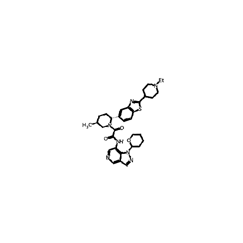 CCN1CCC(c2nc3cc([C@H]4CC[C@H](C)CN4C(=O)C(=O)Nc4cncc5cnn(C6CCCCO6)c45)ccc3s2)CC1